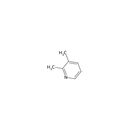 Cc1c[c]cnc1C